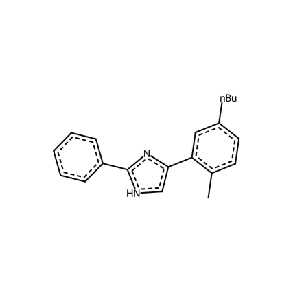 CCCCc1ccc(C)c(-c2c[nH]c(-c3ccccc3)n2)c1